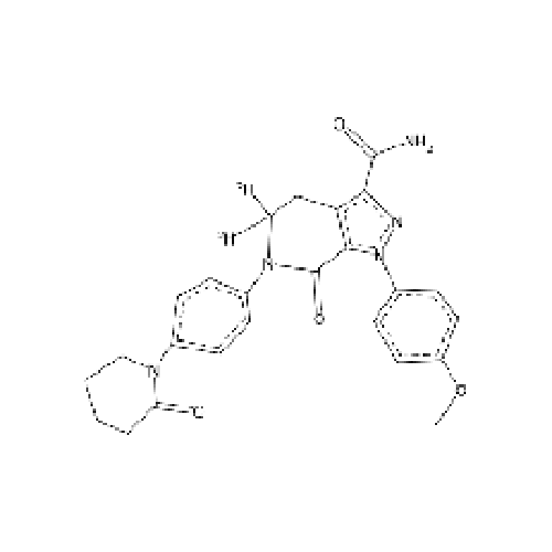 [2H]C1([2H])Cc2c(C(N)=O)nn(-c3ccc(OC)cc3)c2C(=O)N1c1ccc(N2CCCCC2=O)cc1